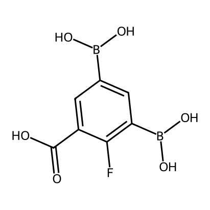 O=C(O)c1cc(B(O)O)cc(B(O)O)c1F